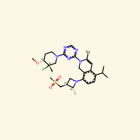 [2H]C1=Cc2c(C(C)C)ccc(N3C[C@H](CS(C)(=O)=O)[C@H]3C)c2CN1c1ncnc(N2CC[C@@H](OC)[C@@](C)(F)C2)n1